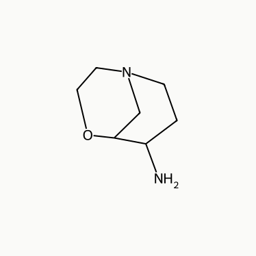 NC1CCN2CCOC1C2